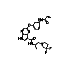 C=CC(=O)Nc1cccc(Oc2cnc3[nH]cc(C(=O)N[C@H](C)CN4CCC(F)(F)C4)c3n2)c1